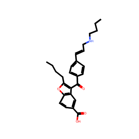 CCCCNCC=Cc1ccc(C(=O)c2c(CCCC)oc3ccc(C(=O)O)cc23)cc1